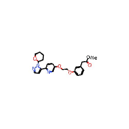 COC(=O)Cc1cccc(OCCOc2ccc(-c3ccnn3C3CCCCO3)nc2)c1